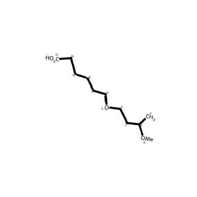 COC(C)CCOCCCCCC(=O)O